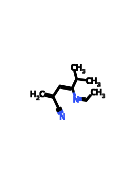 C=C(C#N)/C=C(\N=C/C)C(C)C